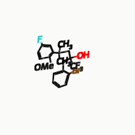 COc1ccc(F)cc1C(C)(C)CC(O)(Cc1ccccc1Br)C(F)(F)F